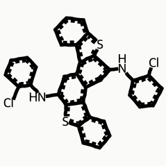 Clc1ccccc1Nc1cc2c(cc(Nc3ccccc3Cl)c3sc4ccccc4c32)c2c1sc1ccccc12